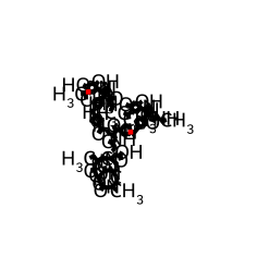 CCNC(=O)c1nnc(-c2cc(C(C)C)c(O)cc2O)n1-c1ccc(CN2CCN(C(=O)CC[C@H](NC(=O)CC[C@H](C(=O)O)N3CCN(CC)CC(=O)ON4OC(=O)CN(C)CCN(CC3)CC(=O)O4)C(=O)N3CCN(Cc4ccc(-n5c(C(=O)NCC)nnc5-c5cc(C(C)C)c(O)cc5O)cc4)CC3)CC2)cc1